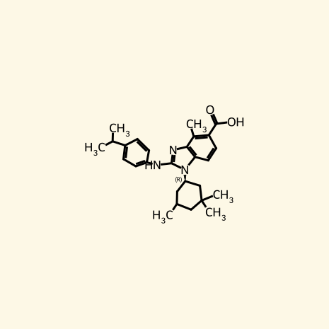 Cc1c(C(=O)O)ccc2c1nc(Nc1ccc(C(C)C)cc1)n2[C@@H]1CC(C)CC(C)(C)C1